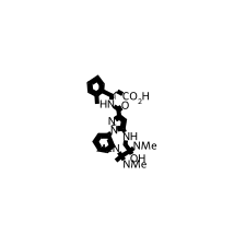 CNC(O)(CNc1cc(C(=O)N[C@@H](CC(=O)O)c2ccccc2C)nn1-c1ccccc1)C(C)(NC)NC